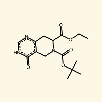 CCOC(=O)C1Cc2nc[nH]c(=O)c2CN1C(=O)OC(C)(C)C